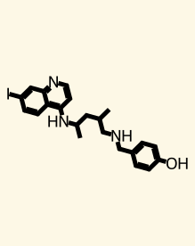 CC(CNCc1ccc(O)cc1)CC(C)Nc1ccnc2cc(I)ccc12